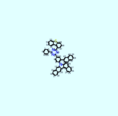 c1ccc(-c2nc(-c3ccc(-n4c5cc6ccccc6cc5c5c6ccccc6ccc54)c(-c4ccc5ccccc5c4)c3)nc(-c3cccc4sc5ccccc5c34)n2)cc1